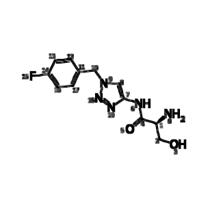 N[C@@H](CO)C(=O)Nc1cn(Cc2ccc(F)cc2)nn1